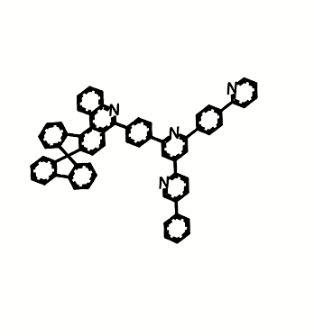 c1ccc(-c2ccc(-c3cc(-c4ccc(-c5ccccn5)cc4)nc(-c4ccc(-c5nc6ccccc6c6c7c(ccc56)C5(c6ccccc6-c6ccccc65)c5ccccc5-7)cc4)c3)nc2)cc1